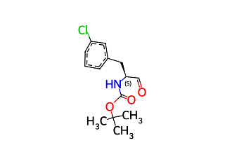 CC(C)(C)OC(=O)N[C@H](C=O)Cc1cccc(Cl)c1